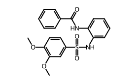 COc1ccc(S(=O)(=O)Nc2ccccc2NC(=O)c2ccccc2)cc1OC